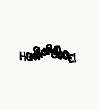 O=C(CCS(=O)(=O)c1ccc2cc(Cl)ccc2c1)N1CCC(N2CN3CN(CO)C=C3C2=O)CC1